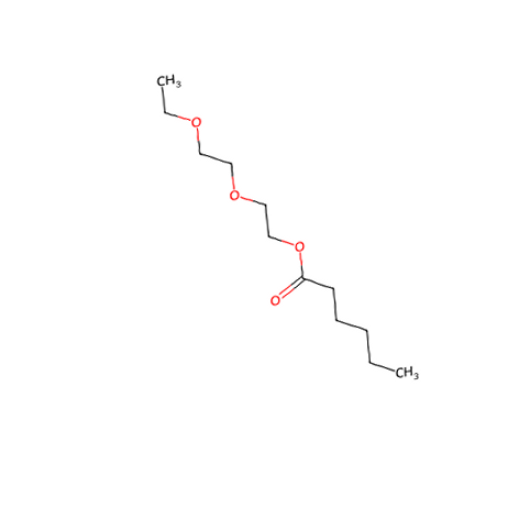 CCCCCC(=O)OCCOCCOCC